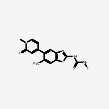 CCNC(=O)Nc1nc2cc(-c3ccn(C)c(=O)c3)c(OC)cc2s1